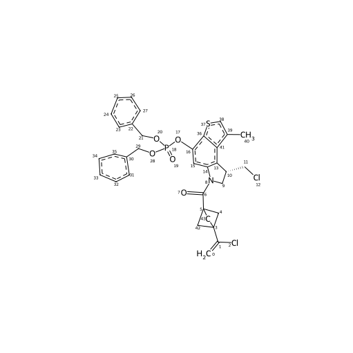 C=C(Cl)C12CC(C(=O)N3C[C@@H](CCl)c4c3cc(OP(=O)(OCc3ccccc3)OCc3ccccc3)c3scc(C)c43)(C1)C2